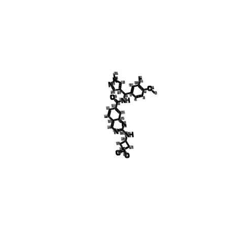 COc1ccc(C(NC(=O)c2ccc3cnc(NC4CS(=O)(=O)C4)nc3c2)c2cnn(C)c2)cc1F